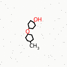 CC1CCC(OC2CCC(O)CC2)CC1